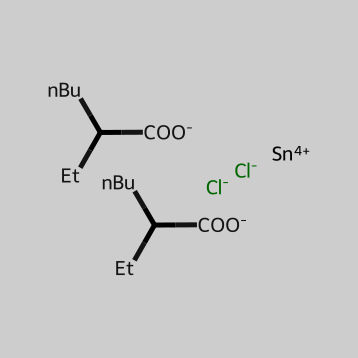 CCCCC(CC)C(=O)[O-].CCCCC(CC)C(=O)[O-].[Cl-].[Cl-].[Sn+4]